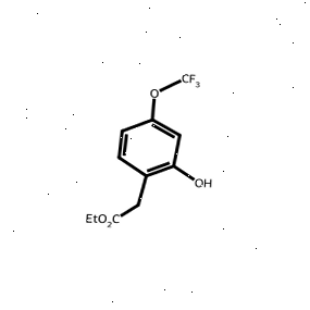 CCOC(=O)Cc1ccc(OC(F)(F)F)cc1O